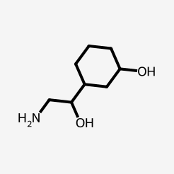 NCC(O)C1CCCC(O)C1